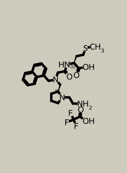 CSCC[C@H](NC(=O)CN(Cc1cccc2ccccc12)C[C@@H]1CCCN1CCN)C(=O)O.O=C(O)C(F)(F)F